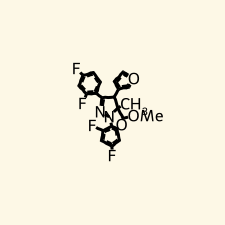 COC(=O)C1(C)C(c2ccoc2)C(c2ccc(F)cc2F)=NN1c1ccc(F)cc1F